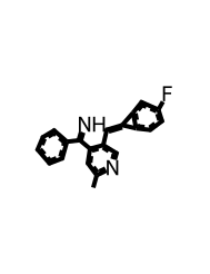 Cc1cc(C(=N)c2ccccc2)c(/C=C2\c3ccc(F)cc32)cn1